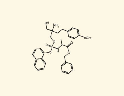 CCCCCCCCc1ccc(CCC(N)(CO)COP(=O)(NC(C)C(=O)OCc2ccccc2)Oc2cccc3ccccc23)cc1